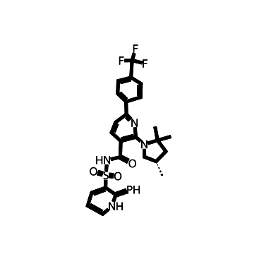 C[C@@H]1CN(c2nc(-c3ccc(C(F)(F)F)cc3)ccc2C(=O)NS(=O)(=O)c2ccc[nH]c2=P)C(C)(C)C1